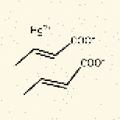 C/C=C/C(=O)[O-].C/C=C/C(=O)[O-].[Hg+2]